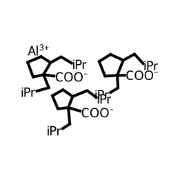 CC(C)CC1CCCC1(CC(C)C)C(=O)[O-].CC(C)CC1CCCC1(CC(C)C)C(=O)[O-].CC(C)CC1CCCC1(CC(C)C)C(=O)[O-].[Al+3]